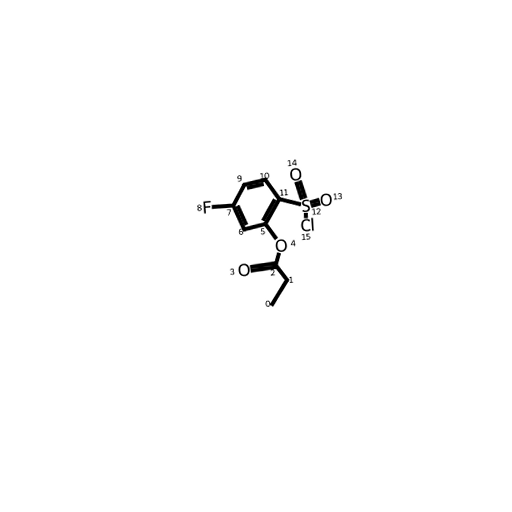 CCC(=O)Oc1cc(F)ccc1S(=O)(=O)Cl